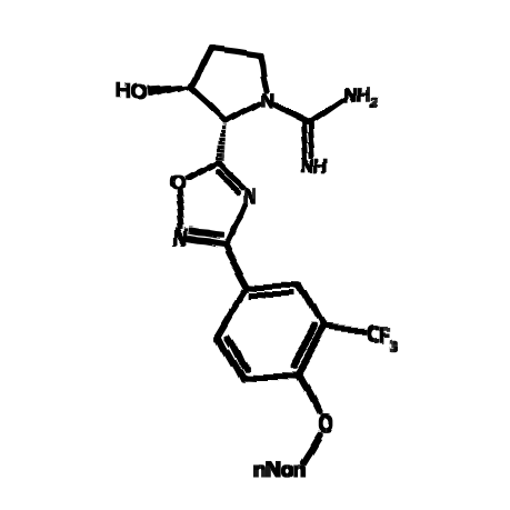 CCCCCCCCCOc1ccc(-c2noc([C@@H]3[C@@H](O)CCN3C(=N)N)n2)cc1C(F)(F)F